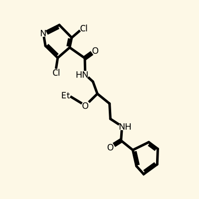 CCOC(CCNC(=O)c1ccccc1)CNC(=O)c1c(Cl)cncc1Cl